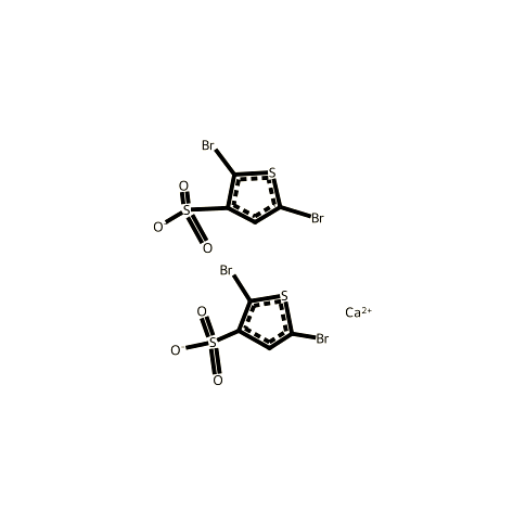 O=S(=O)([O-])c1cc(Br)sc1Br.O=S(=O)([O-])c1cc(Br)sc1Br.[Ca+2]